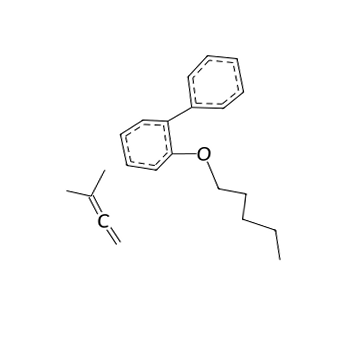 C=C=C(C)C.CCCCCOc1ccccc1-c1ccccc1